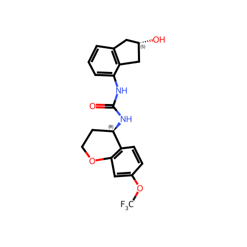 O=C(Nc1cccc2c1C[C@@H](O)C2)N[C@@H]1CCOc2cc(OC(F)(F)F)ccc21